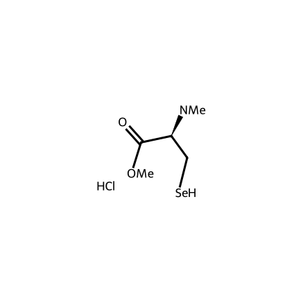 CN[C@@H](C[SeH])C(=O)OC.Cl